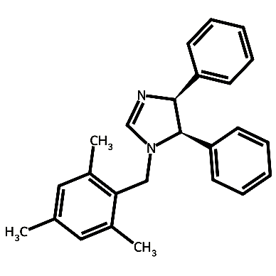 Cc1cc(C)c(CN2C=N[C@@H](c3ccccc3)[C@H]2c2ccccc2)c(C)c1